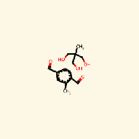 CC(CO)(CO)CO.Cc1cc(C=O)ccc1C=O